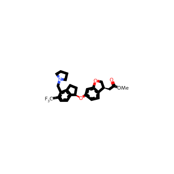 COC(=O)C[C@@H]1COc2cc(O[C@@H]3CCc4c3ccc(C(F)(F)F)c4CN3CCCC3)ccc21